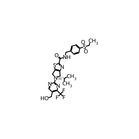 CCS(=O)(=O)c1ccc(CNC(=O)c2nc3c(s2)CN(c2ncc(CO)c(C(F)(F)F)n2)[C@H]3C(C)C)cc1